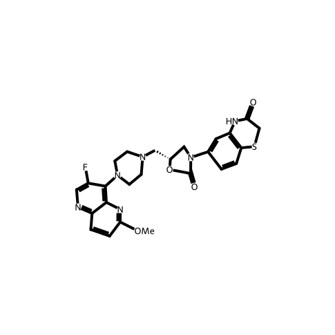 COc1ccc2ncc(F)c(N3CCN(C[C@@H]4CN(c5ccc6c(c5)NC(=O)CS6)C(=O)O4)CC3)c2n1